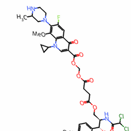 COc1c(N2CCNC(C)C2)c(F)cc2c(=O)c(C(=O)OCOC(=O)CCC(=O)OC[C@@H](NC(=O)C(Cl)Cl)[C@H](O)c3ccc([N+](=O)[O-])cc3)cn(C3CC3)c12